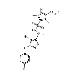 CCOC(=O)c1[nH]c(C)c(S(=O)(=O)N[C@H](C)c2nnc(Oc3ccc(F)cc3)n2CC)c1C